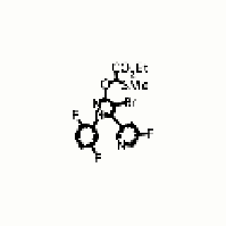 CCOC(=O)C(Oc1nn(-c2cc(F)ccc2F)c(-c2cncc(F)c2)c1Br)SC